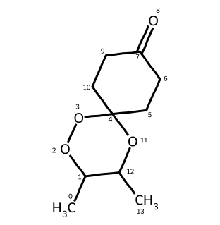 CC1OOC2(CCC(=O)CC2)OC1C